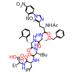 CCC(NC(=O)[C@H](CC(C)C)NC(=O)[C@@H](NC(=O)[C@H](Cc1ccccc1C)NC(=O)[C@@H](COCc1ccccc1)NC(=O)[C@H](Cc1cn(-c2ccc([N+](=O)[O-])cc2[N+](=O)[O-])cn1)NC(C)=O)C(C)(C)C)B(O)O